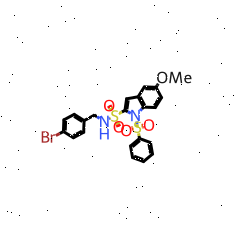 COc1ccc2c(c1)cc(S(=O)(=O)NCc1ccc(Br)cc1)n2S(=O)(=O)c1ccccc1